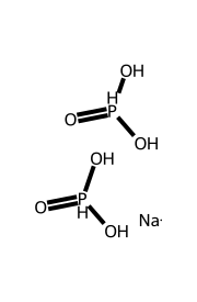 O=[PH](O)O.O=[PH](O)O.[Na]